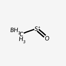 B.C[S+]=O